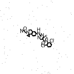 CN(C)C(=O)CN1CCc2cc(Nc3ncc4c(n3)SCN(c3c(Cl)cccc3Cl)C4=O)ccc2C12CC2